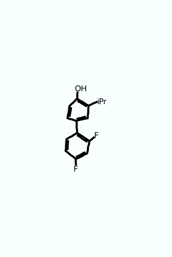 CC(C)c1cc(-c2ccc(F)cc2F)ccc1O